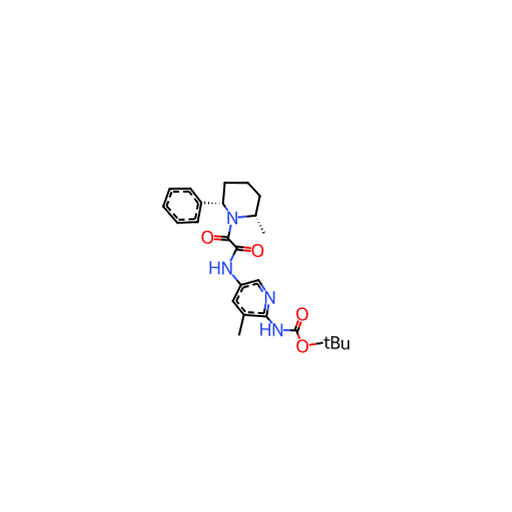 Cc1cc(NC(=O)C(=O)N2[C@@H](C)CCC[C@H]2c2ccccc2)cnc1NC(=O)OC(C)(C)C